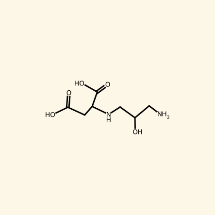 NCC(O)CNC(CC(=O)O)C(=O)O